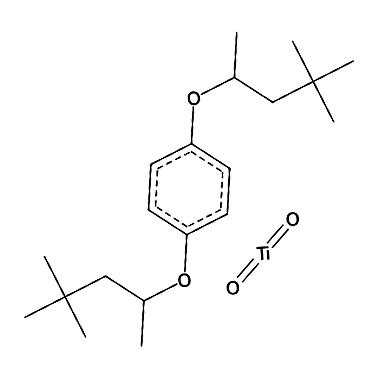 CC(CC(C)(C)C)Oc1ccc(OC(C)CC(C)(C)C)cc1.[O]=[Ti]=[O]